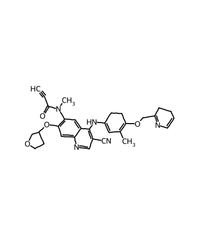 C#CC(=O)N(C)c1cc2c(NC3=CC(C)=C(OCC4=NC=CCC4)CC3)c(C#N)cnc2cc1OC1CCOC1